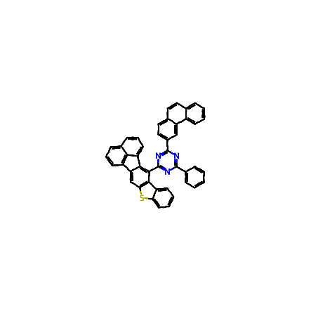 c1ccc(-c2nc(-c3ccc4ccc5ccccc5c4c3)nc(-c3c4c(cc5sc6ccccc6c35)-c3cccc5cccc-4c35)n2)cc1